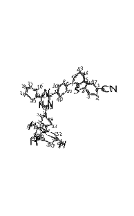 N#Cc1ccc2sc3c(-c4ccc(-c5nc(-c6ccccc6)nc(-c6ccc(C78C[C@H]9C[C@H](C7)C[C@@H](C8)C9)cc6)n5)cc4)cccc3c2c1